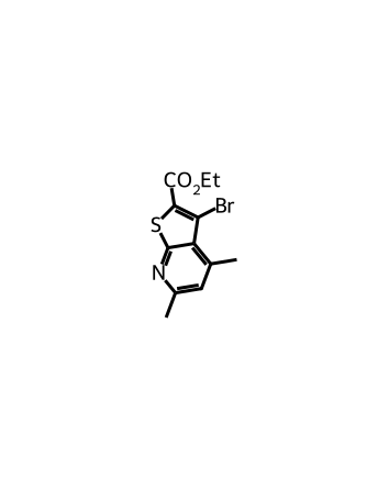 CCOC(=O)c1sc2nc(C)cc(C)c2c1Br